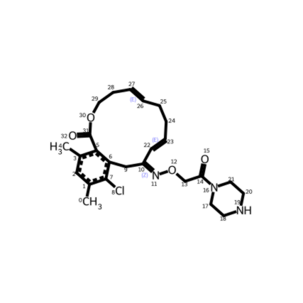 Cc1cc(C)c2c(c1Cl)CC(=N/OCC(=O)N1CCNCC1)/C=C/CC/C=C/CCOC2=O